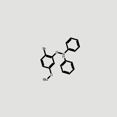 CC(C)(C)Oc1ccc(Br)c(O[SiH](c2ccccc2)c2ccccc2)c1